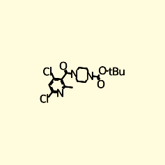 Cc1nc(Cl)cc(Cl)c1C(=O)N1CCN(C(=O)OC(C)(C)C)CC1